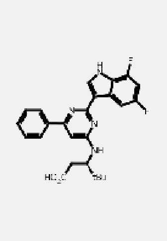 CC(C)(C)[C@@H](CC(=O)O)Nc1cc(-c2ccccc2)nc(-c2c[nH]c3c(F)cc(F)cc23)n1